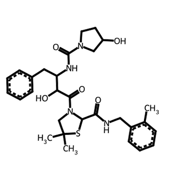 Cc1ccccc1CNC(=O)C1SC(C)(C)CN1C(=O)C(O)C(Cc1ccccc1)NC(=O)N1CCC(O)C1